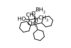 BOC(C)(C(C)(C)O)[PH](C1CCCCC1)(C1CCCCC1)C1CCCCC1